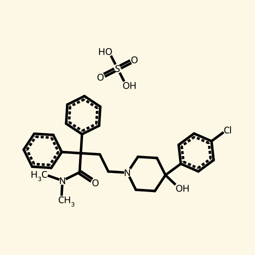 CN(C)C(=O)C(CCN1CCC(O)(c2ccc(Cl)cc2)CC1)(c1ccccc1)c1ccccc1.O=S(=O)(O)O